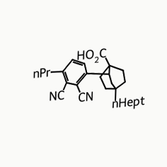 CCCCCCCC12CCC(C(=O)O)(CC1)C(c1ccc(CCC)c(C#N)c1C#N)C2